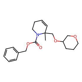 CC1(COC2CCCOC2)C=CCCN1C(=O)OCc1ccccc1